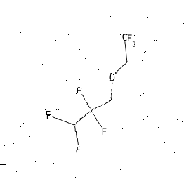 FC(F)C(F)(F)COCC(F)(F)F